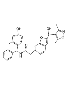 Cc1cc(O)ccc1C(NC(=O)Cc1ccc2cc(C(O)c3c(C)noc3C)oc2c1)c1ccccc1